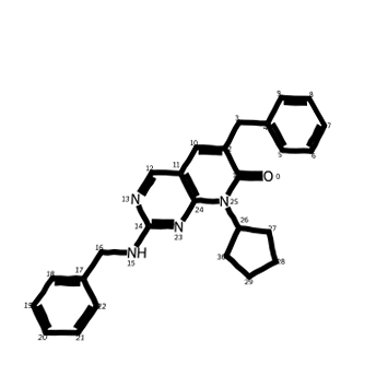 O=c1c(Cc2ccccc2)cc2cnc(NCc3ccccc3)nc2n1C1CCCC1